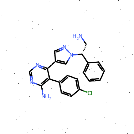 NC[C@H](c1ccccc1)n1cc(-c2ncnc(N)c2-c2ccc(Cl)cc2)cn1